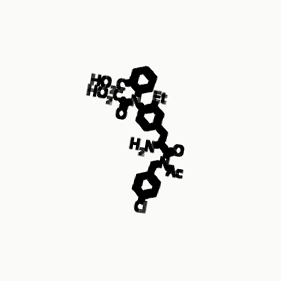 CCc1cc(CC(N)C(=O)N(Cc2ccc(Cl)cc2)C(C)=O)ccc1N(C(=O)C(=O)O)c1ccccc1C(=O)O